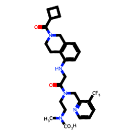 CN(CCN(Cc1ncccc1C(F)(F)F)C(=O)CNc1cccc2c1CCN(C(=O)C1CCC1)C2)C(=O)O